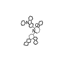 C1=C(C2CCc3cc4ccccc4cc3-c3c2ccc2ccccc32)\N=C(\c2ccc3c(c2)c2ccccc2n3-c2ccccc2)c2oc3ccccc3c2CC/1